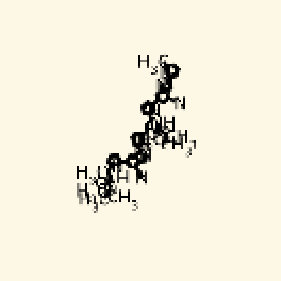 Cc1cccc(-n2cc3c(C#N)cc(-c4cccc(C(CCc5cccc(-n6ncc7c(C#N)cc(-c8cccc(C(C)NC(=O)OC(C)(C)C)n8)cc76)n5)NC(=O)OC(C)(C)C)n4)cc3n2)n1